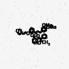 COc1ccc(CCC(OC(=O)C2CCCCN2C(=O)[C@@H](C2CCCCC2)[C@@H](C)O)c2cccc(OCCN3CCOCC3)c2)cc1OC